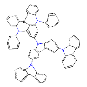 c1ccc(N2c3ccccc3B3c4ccccc4N(c4ccccc4)c4cc(-n5c6ccc(-n7c8ccccc8c8ccccc87)cc6c6cc(-n7c8ccccc8c8ccccc87)ccc65)cc2c43)cc1